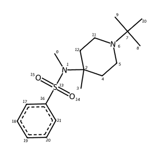 CN(C1(C)CCN(C(C)(C)C)CC1)S(=O)(=O)c1ccccc1